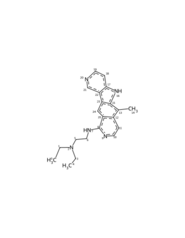 CCN(CC)CCNc1nccc2c(C)c3[nH]c4ccncc4c3cc12